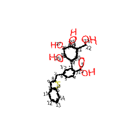 O=C(O)c1ccc(Cc2cc3ccccc3s2)cc1[C@@H]1CC(CO)[C@@H](O)C(O)[C@H]1O